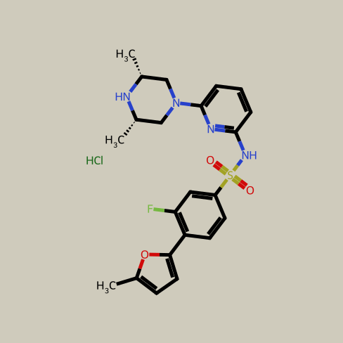 Cc1ccc(-c2ccc(S(=O)(=O)Nc3cccc(N4C[C@@H](C)N[C@@H](C)C4)n3)cc2F)o1.Cl